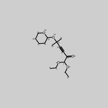 CCOC(OCC)C(=O)C#CC(C)(C)OC1CCCCO1